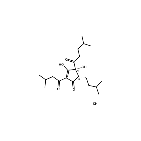 CC(C)CCC(=O)[C@]1(O)C(O)=C(C(=O)CC(C)C)C(=O)[C@H]1CCC(C)C.[KH]